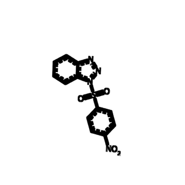 O=[N+]([O-])c1ccc(S(=O)(=O)n2nnc3ccccc32)cc1